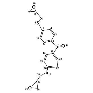 O=C(c1ccc(SCC2CO2)cc1)c1ccc(SCC2CO2)cc1